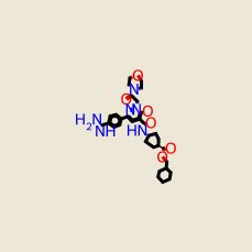 N=C(N)c1ccc(-c2cc(C(=O)N[C@H]3CC[C@H](C(=O)OCC4CCCCC4)CC3)c(=O)n(CC(=O)N3CCOCC3)n2)cc1